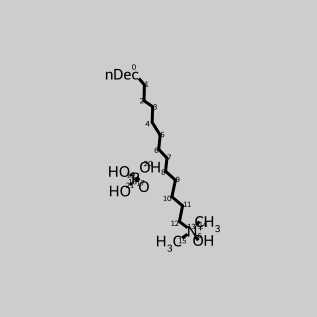 CCCCCCCCCCCCCCCCCCCCCC[N+](C)(C)O.O=P(O)(O)O